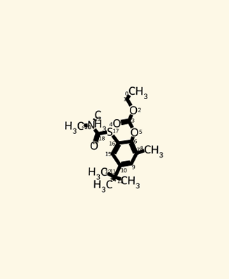 CCOC(=O)Oc1c(C)cc(C(C)(C)C)cc1SC(=O)N(C)C